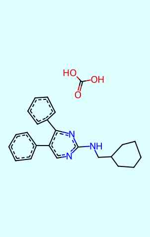 O=C(O)O.c1ccc(-c2cnc(NCC3CCCCC3)nc2-c2ccccc2)cc1